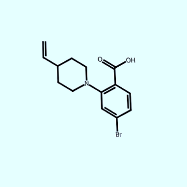 C=CC1CCN(c2cc(Br)ccc2C(=O)O)CC1